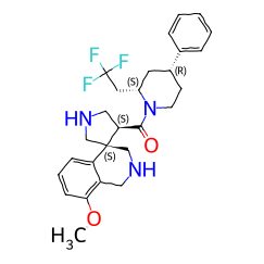 COc1cccc2c1CNC[C@]21CNC[C@H]1C(=O)N1CC[C@@H](c2ccccc2)C[C@H]1CC(F)(F)F